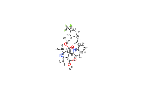 CCOC(=O)c1c(C(C)C)nc(C(C)C)c(C(=O)OCC)c1-c1ccc2cccc(C=CC3CCC(C(F)(F)F)CC3)c2n1